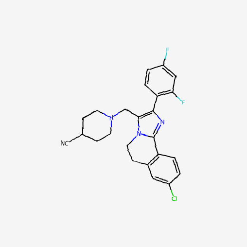 N#CC1CCN(Cc2c(-c3ccc(F)cc3F)nc3n2CCc2cc(Cl)ccc2-3)CC1